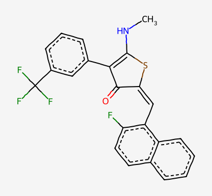 CNC1=C(c2cccc(C(F)(F)F)c2)C(=O)/C(=C\c2c(F)ccc3ccccc23)S1